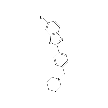 Brc1ccc2nc(-c3ccc(CN4CCCCC4)cc3)oc2c1